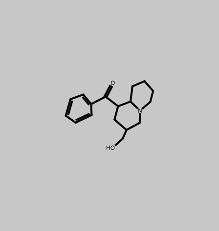 O=C(c1ccccc1)C1CC(CO)CN2CCCCC12